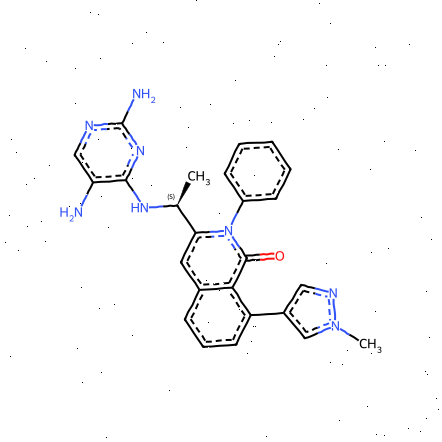 C[C@H](Nc1nc(N)ncc1N)c1cc2cccc(-c3cnn(C)c3)c2c(=O)n1-c1ccccc1